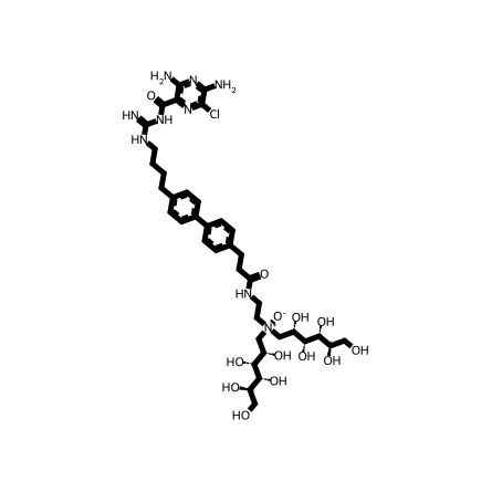 N=C(NCCCCc1ccc(-c2ccc(CCC(=O)NCC[N+]([O-])(C[C@H](O)[C@@H](O)[C@H](O)[C@H](O)CO)C[C@H](O)[C@@H](O)[C@H](O)[C@H](O)CO)cc2)cc1)NC(=O)c1nc(Cl)c(N)nc1N